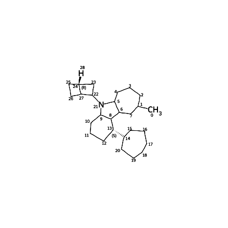 CC1CCCC2C(C1)C1C(CCC[C@H]1C1CCCCCC1)N2C1C[C@H]2CCC12